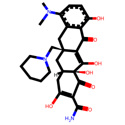 CN(C)c1ccc(O)c2c1C[C@@]1(CN3CCCCC3)C[C@H]3CC(O)=C(C(N)=O)C(=O)[C@@]3(O)C(O)=C1C2=O